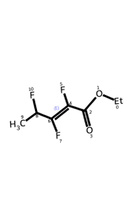 CCOC(=O)/C(F)=C(\F)C(C)F